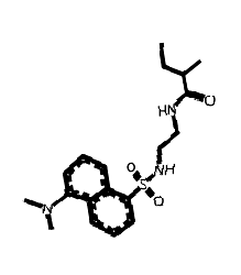 CCC(C)C(=O)NCCNS(=O)(=O)c1cccc2c(N(C)C)cccc12